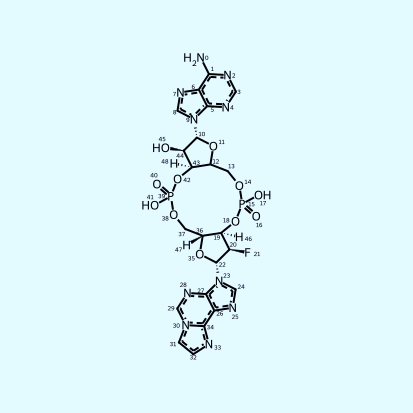 Nc1ncnc2c1ncn2[C@@H]1OC2COP(=O)(O)O[C@H]3[C@@H](F)[C@H](n4cnc5c4ncn4ccnc54)O[C@@H]3COP(=O)(O)O[C@H]2[C@H]1O